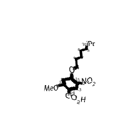 COc1cc(OCCCCCC(C)C)c([N+](=O)[O-])cc1C(=O)O